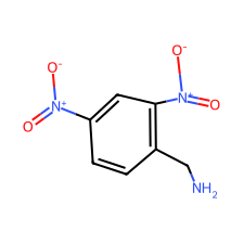 NCc1ccc([N+](=O)[O-])cc1[N+](=O)[O-]